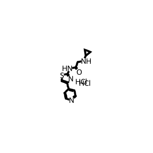 Cl.Cl.O=C(CNC1CC1)Nc1nc(-c2ccncc2)cs1